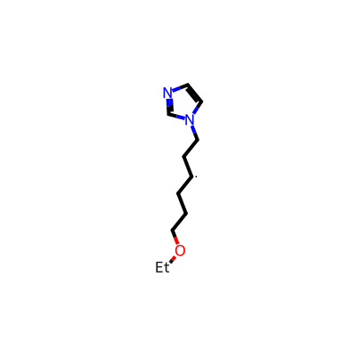 CCOCCC[CH]CCn1ccnc1